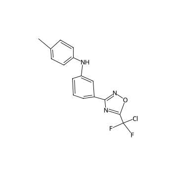 Cc1ccc(Nc2cccc(-c3noc(C(F)(F)Cl)n3)c2)cc1